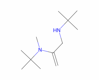 C=C(CNC(C)(C)C)N(C)C(C)(C)C